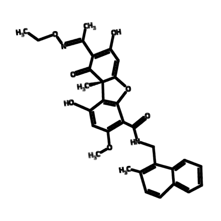 CCON=C(C)C1=C(O)C=C2Oc3c(C(=O)NCc4c(C)ccc5ccccc45)c(OC)cc(O)c3[C@]2(C)C1=O